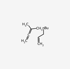 C=C=C(C)C.C=CCCCCC